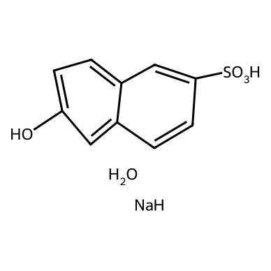 O.O=S(=O)(O)c1ccc2cc(O)ccc2c1.[NaH]